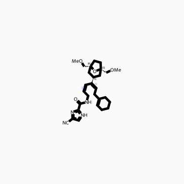 COC[C@@]12CC[C@@](COC)(C[C@H](C(/C=C\CNC(=O)c3nc(C#N)c[nH]3)=C/CC3=CCCCC3)C1)O2